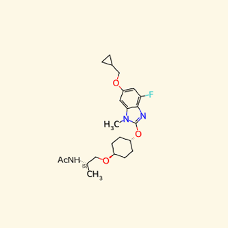 CC(=O)N[C@@H](C)CO[C@H]1CC[C@H](Oc2nc3c(F)cc(OCC4CC4)cc3n2C)CC1